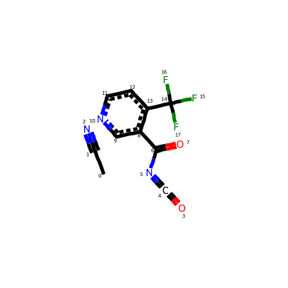 CC#N.O=C=NC(=O)c1cnccc1C(F)(F)F